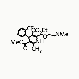 CCOC(=O)C1=C(COCCNC)NC(C)=C(C(=O)OC)C1c1ccccc1C(F)(F)F